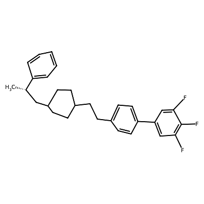 C[C@@H](CC1CCC(CCc2ccc(-c3cc(F)c(F)c(F)c3)cc2)CC1)c1ccccc1